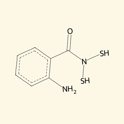 Nc1ccccc1C(=O)N(S)S